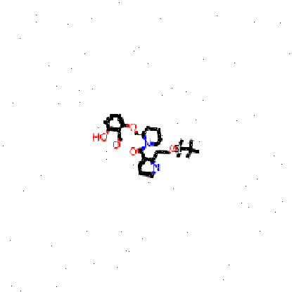 CC(C)(C)[Si](C)(C)OCCc1ncccc1C(=O)N1CCCC[C@@H]1COc1cccc(O)c1C=O